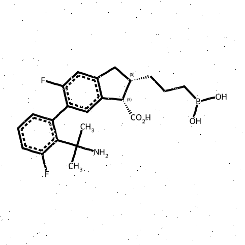 CC(C)(N)c1c(F)cccc1-c1cc2c(cc1F)C[C@H](CCCB(O)O)[C@@H]2C(=O)O